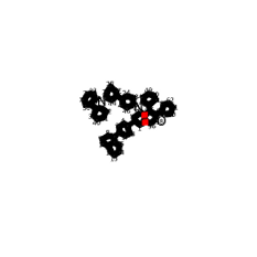 c1cc(-c2ccc(-c3cccc4ccccc34)cc2)cc(N(c2ccc(-c3cccc(-n4c5ccccc5c5ccccc54)c3)cc2)c2ccccc2-c2cccc3oc4ccccc4c23)c1